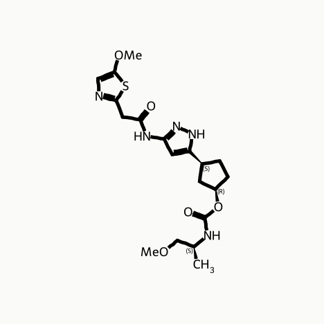 COC[C@H](C)NC(=O)O[C@@H]1CC[C@H](c2cc(NC(=O)Cc3ncc(OC)s3)n[nH]2)C1